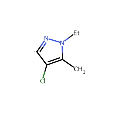 CCn1n[c]c(Cl)c1C